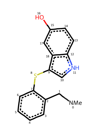 CNCc1ccccc1Sc1c[nH]c2ccc(O)cc12